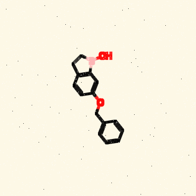 OB1CCc2ccc(OCc3ccccc3)cc21